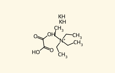 CC[N+](CC)(CC)CC.O=C(O)C(=O)O.[KH].[KH]